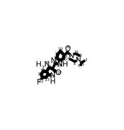 CC(C)N1CCN(C(=O)c2ccc3nc(-c4c(N)c5ccc(F)cc5[nH]c4=O)[nH]c3c2)CC1